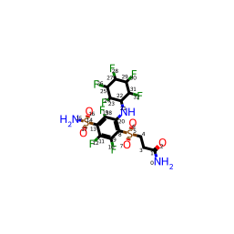 NC(=O)CCS(=O)(=O)c1c(F)c(F)c(S(N)(=O)=O)c(F)c1NC1C(F)C(F)C(F)C(F)C1F